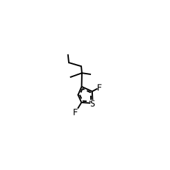 CCCC(C)(C)c1cc(F)sc1F